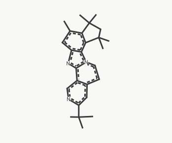 Cc1cc2nc3c4cnc(C(C)(C)C)cc4ccn3c2c2c1C(C)(C)CC2(C)C